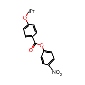 CC(C)Oc1ccc(C(=O)Oc2ccc([N+](=O)[O-])cc2)cc1